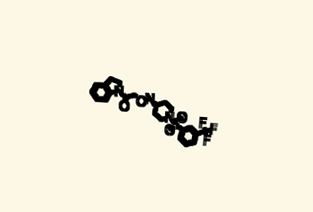 O=C(CON=C1CCN(S(=O)(=O)c2cccc(C(F)(F)F)c2)CC1)N1CCc2ccccc21